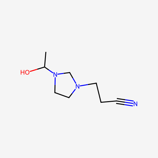 CC(O)N1CCN(CCC#N)C1